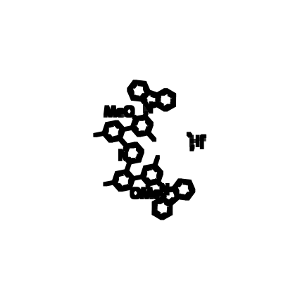 COc1c(-c2ccc(C)cc2-c2cccc(-c3cc(C)ccc3-c3cc(C)cc(-n4c5ccccc5c5ccccc54)c3OC)n2)cc(C)cc1-n1c2ccccc2c2ccccc21.[CH3][Hf][CH3]